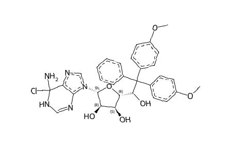 COc1ccc(C(c2ccccc2)(c2ccc(OC)cc2)C(O)[C@H]2O[C@@H](n3cnc4c3N=CNC4(N)Cl)[C@H](O)[C@@H]2O)cc1